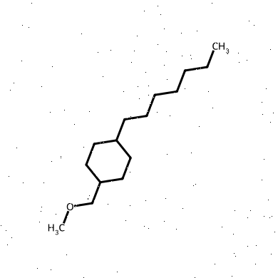 CCCCCCCC1CCC(COC)CC1